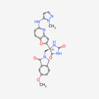 COc1ccc2c(c1)C(=O)N(C[C@@]1(c3cc4nc(Nc5ccnn5C)ccc4o3)NC(=O)NC1=O)C2